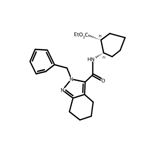 CCOC(=O)[C@@H]1CCCC[C@@H]1NC(=O)c1c2c(nn1Cc1ccccc1)CCCC2